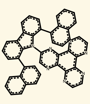 c1ccc2c(-c3cccc4c5cccc(-c6cccc7ccccc67)c5n(-c5cnc6c7nccnc7c7nccnc7c6n5)c34)cccc2c1